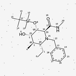 CC[C@@H]1[C@@H](C)[C@H](O)[C@H](O[Si](C)(C)C(C)(C)C)[C@@H](C(=O)NC)N1Cc1ccccc1